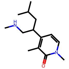 CNCC(CC(C)C)c1ccn(C)c(=O)c1C